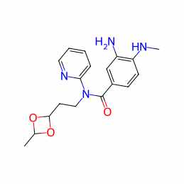 CNc1ccc(C(=O)N(CCC2OC(C)O2)c2ccccn2)cc1N